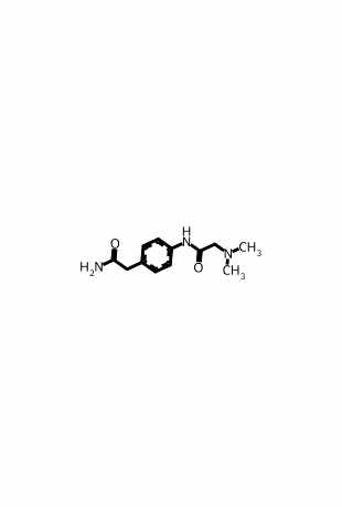 CN(C)CC(=O)Nc1ccc(CC(N)=O)cc1